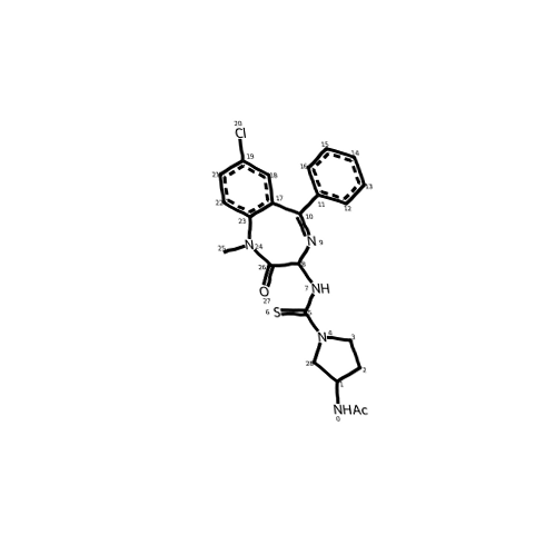 CC(=O)NC1CCN(C(=S)NC2N=C(c3ccccc3)c3cc(Cl)ccc3N(C)C2=O)C1